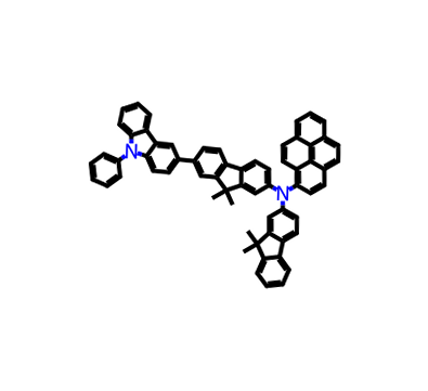 CC1(C)c2ccccc2-c2ccc(N(c3ccc4c(c3)C(C)(C)c3cc(-c5ccc6c(c5)c5ccccc5n6-c5ccccc5)ccc3-4)c3ccc4ccc5cccc6ccc3c4c56)cc21